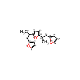 CC(Cc1ccco1)c1[c]cc(C(C)Cc2ccco2)o1